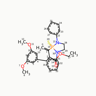 C=C(C(Cc1cc(OC)cc(OC)c1)C(=O)OCC)P1(=S)N(c2ccccc2)CCN1c1ccccc1